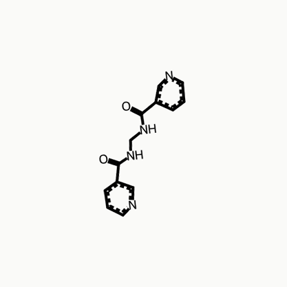 O=C(NCNC(=O)c1cccnc1)c1cccnc1